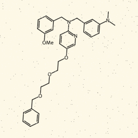 COc1cccc(CN(Cc2cccc(N(C)C)c2)c2ccc(OCCOCCOCc3ccccc3)cn2)c1